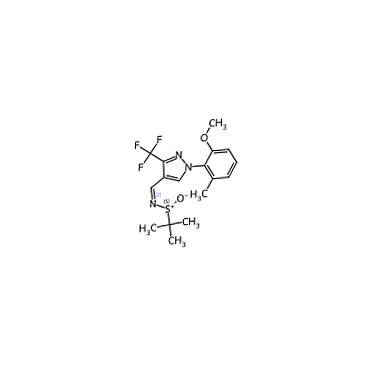 COc1cccc(C)c1-n1cc(/C=N\[S@+]([O-])C(C)(C)C)c(C(F)(F)F)n1